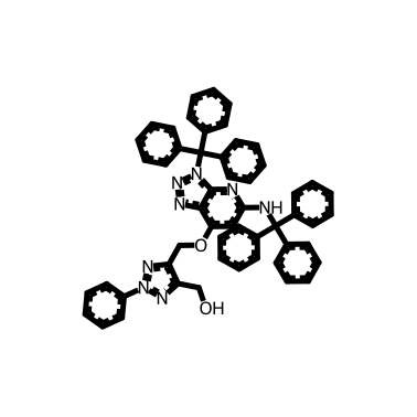 OCc1nn(-c2ccccc2)nc1COc1cc(NC(c2ccccc2)(c2ccccc2)c2ccccc2)nc2c1nnn2C(c1ccccc1)(c1ccccc1)c1ccccc1